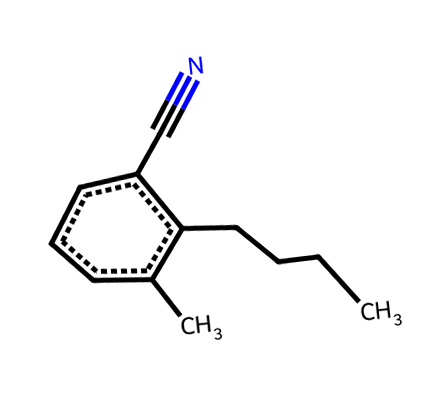 CCCCc1c(C)cccc1C#N